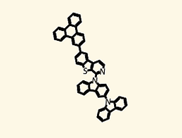 c1ccc2c(c1)c1ccccc1c1cc(-c3ccc4sc5c(-n6c7ccccc7c7cc(-n8c9ccccc9c9ccccc98)ccc76)nccc5c4c3)ccc21